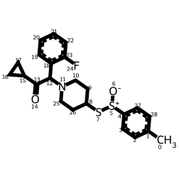 Cc1ccc([S+]([O-])SC2CCN(C(C(=O)C3CC3)c3ccccc3F)CC2)cc1